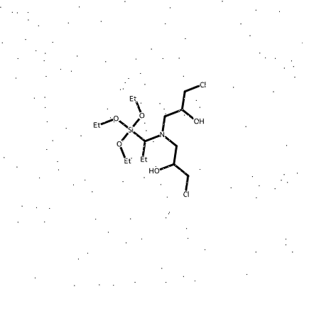 CCO[Si](OCC)(OCC)C(CC)N(CC(O)CCl)CC(O)CCl